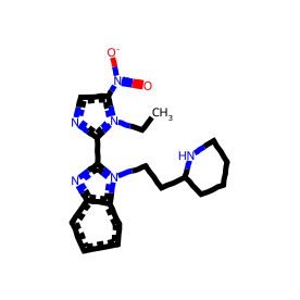 CCn1c([N+](=O)[O-])cnc1-c1nc2ccccc2n1CCC1CCCCN1